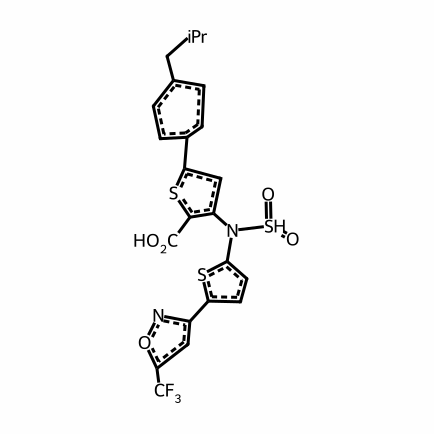 CC(C)Cc1ccc(-c2cc(N(c3ccc(-c4cc(C(F)(F)F)on4)s3)[SH](=O)=O)c(C(=O)O)s2)cc1